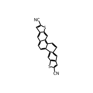 N#Cc1cc2cc3ccc4c5cc6sc(C#N)cc6cc5ccc4c3cc2s1